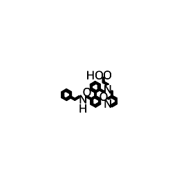 O=C(O)CCN(Cc1cccnc1)C(=O)c1ccccc1-c1ccccc1C(=O)NCCc1ccccc1